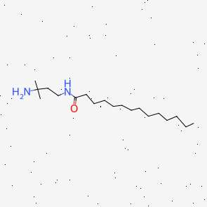 CCCCCCCCCCCCCC(=O)NCCC(C)(C)N